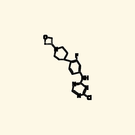 Fc1cc(Nc2ncnc(Cl)n2)ccc1C1CCN(C2COC2)CC1